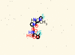 CC(C)(C=C(C#N)C(=O)N1CCCC[C@@H]1COC(=O)N[C@@H](Cc1ccccc1C(F)(F)F)B(O)O)N1CCC(F)(F)C1